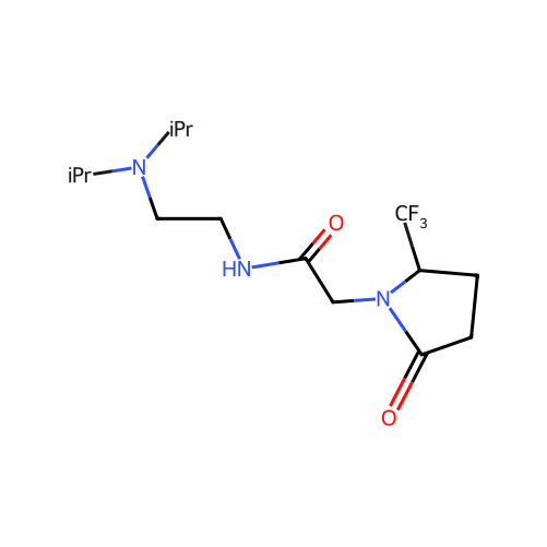 CC(C)N(CCNC(=O)CN1C(=O)CCC1C(F)(F)F)C(C)C